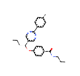 O=C(O)CCNC(=O)c1ccc(O[C@H](CCC(F)(F)F)c2cnc(-c3ccc(C(F)(F)F)cc3)nc2)cc1